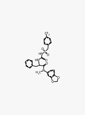 CN(C(=O)C(Cc1ccccc1)NC(=O)NS(=O)(=O)Cc1ccc(C(F)(F)F)cc1)c1ccc2c(c1)OCO2